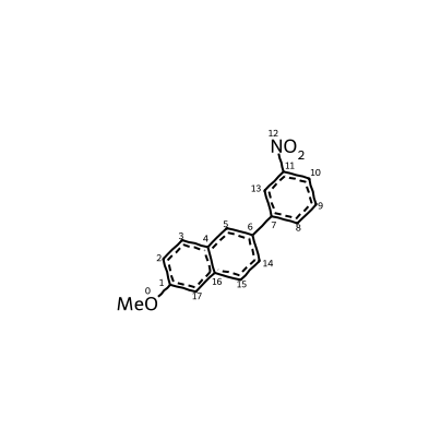 COc1ccc2cc(-c3cccc([N+](=O)[O-])c3)ccc2c1